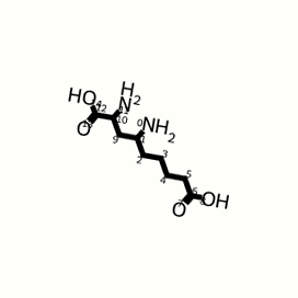 NC(CCCCC(=O)O)CC(N)C(=O)O